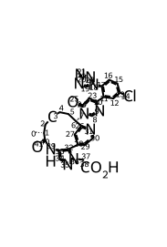 C[C@@H]1CCCC[C@H](n2cnc(-c3cc(Cl)ccc3-n3cnnn3)cc2=O)c2cc(ccn2)-c2c(cnn2CC(=O)O)NC1=O